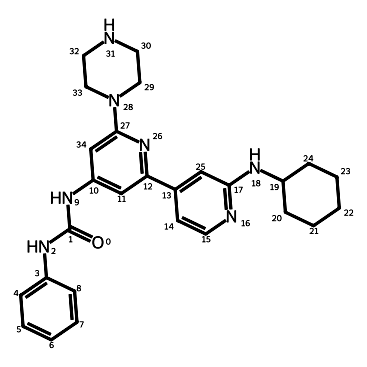 O=C(Nc1ccccc1)Nc1cc(-c2ccnc(NC3CCCCC3)c2)nc(N2CCNCC2)c1